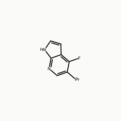 CC(C)c1cnc2[nH]ccc2c1F